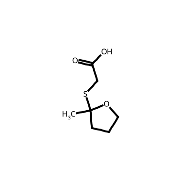 CC1(SCC(=O)O)CCCO1